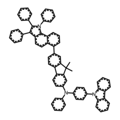 CC1(C)c2cc(-c3cccc4c3ccc3c(-c5ccccc5)c(-c5ccccc5)n(-c5ccccc5)c34)ccc2-c2ccc(N(c3ccccc3)c3ccc(-n4c5ccccc5c5ccccc54)cc3)cc21